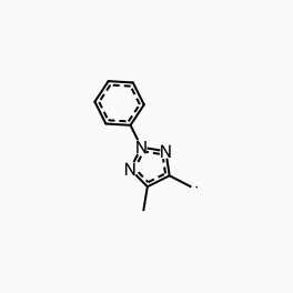 [CH2]c1nn(-c2ccccc2)nc1C